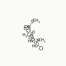 COCCCOc1cc(C(=O)N(C[C@@H]2CNC[C@H]2CN(C)C(=O)C[C@@H](O)c2ccccc2)C(C)C)ccc1OC